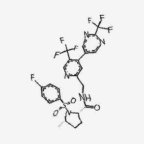 C[C@H]1CC[C@@H](C(=O)NCc2cc(-c3cnc(C(F)(F)F)nc3)c(C(F)(F)F)cn2)N1S(=O)(=O)c1ccc(F)cc1